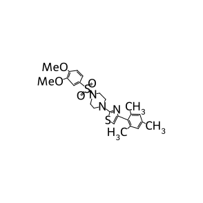 COc1ccc(S(=O)(=O)N2CCN(c3nc(-c4c(C)cc(C)cc4C)cs3)CC2)cc1OC